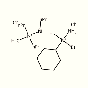 CCCN[N+](C)(CCC)CCC.CC[N+](N)(CC)C1CCCCC1.[Cl-].[Cl-]